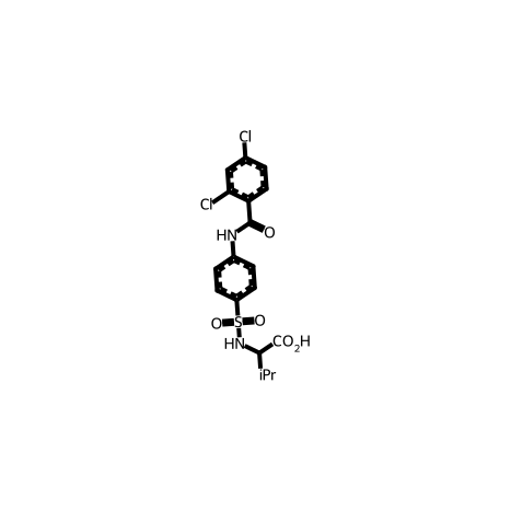 CC(C)C(NS(=O)(=O)c1ccc(NC(=O)c2ccc(Cl)cc2Cl)cc1)C(=O)O